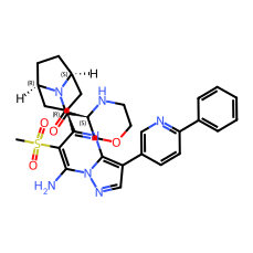 CS(=O)(=O)c1c([C@H]2C[C@H]3CC[C@@H](C2)N3C(=O)[C@@H]2COCCN2)nc2c(-c3ccc(-c4ccccc4)nc3)cnn2c1N